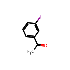 O=C(c1cccc(I)c1)C(F)(F)F